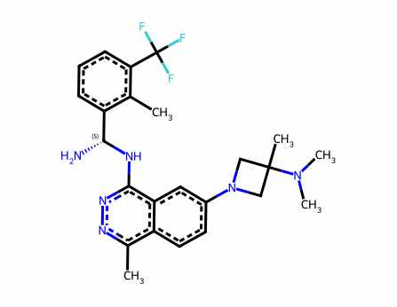 Cc1c([C@@H](N)Nc2nnc(C)c3ccc(N4CC(C)(N(C)C)C4)cc23)cccc1C(F)(F)F